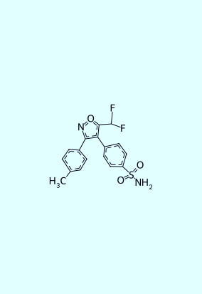 Cc1ccc(-c2noc(C(F)F)c2-c2ccc(S(N)(=O)=O)cc2)cc1